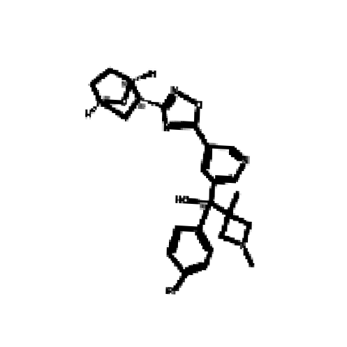 CC(C)c1ccc([C@](O)(c2cncc(-c3nc([C@@H]4C[C@H]5CC[C@@H]4O5)no3)c2)C2(C)CN(C)C2)cc1